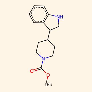 CC(C)(C)OC(=O)N1CCC(C2CNc3ccccc32)CC1